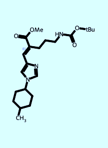 COC(=O)/C(=C/c1cn(C2CCC(C)CC2)cn1)CCCNC(=O)OC(C)(C)C